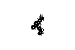 CC1(C)c2cc3ncncc3cc2-c2ccc3c4ccccc4n(-c4ccc5oc6ccccc6c5c4)c3c21